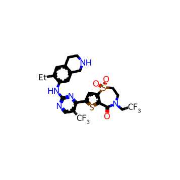 CCc1cc2c(cc1Nc1ncc(C(F)(F)F)c(-c3cc4c(s3)C(=O)N(CC(F)(F)F)CCS4(=O)=O)n1)CNCC2